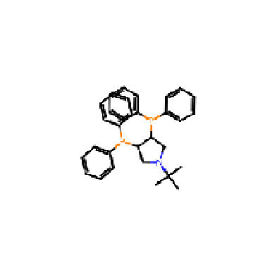 CC(C)(C)N1CC(P(c2ccccc2)c2ccccc2)C(P(c2ccccc2)c2ccccc2)C1